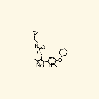 Cc1nc(-c2onc(C)c2COC(=O)NCCC2CC2)ccc1OC1CCCCC1